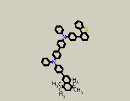 CC1(C)CCC(C)(C)c2cc(-c3ccc(N(c4ccccc4)c4ccc(-c5ccc(N(c6ccccc6)c6ccc(-c7cccc8sc9ccccc9c78)cc6)cc5)cc4)cc3)ccc21